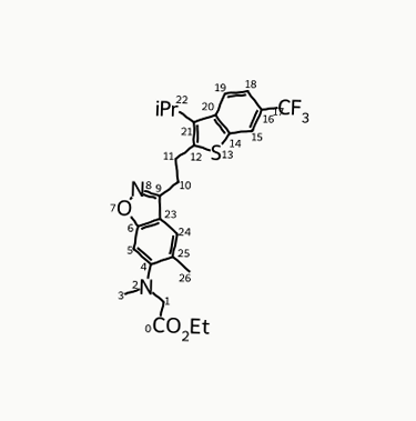 CCOC(=O)CN(C)c1cc2onc(CCc3sc4cc(C(F)(F)F)ccc4c3C(C)C)c2cc1C